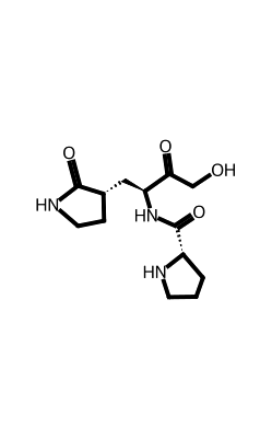 O=C1NCC[C@H]1C[C@H](NC(=O)[C@@H]1CCCN1)C(=O)CO